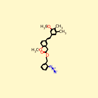 COc1ccc(/C=C/c2cc(C)c(C)c(OC)c2)cc1CC(=O)OCCc1ccccc1N=[N+]=[N-]